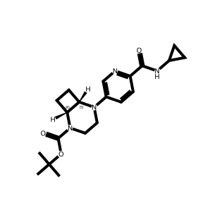 CC(C)(C)OC(=O)N1CCN(c2ccc(C(=O)NC3CC3)nc2)[C@H]2CC[C@H]21